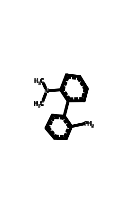 CN(C)c1ccccc1-c1ccccc1P